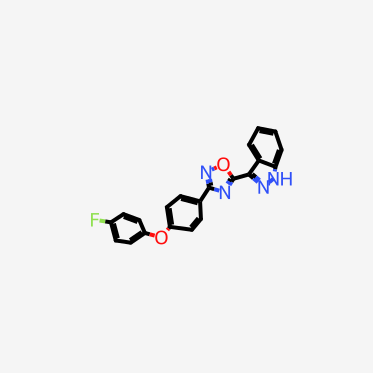 Fc1ccc(Oc2ccc(-c3noc(-c4n[nH]c5ccccc45)n3)cc2)cc1